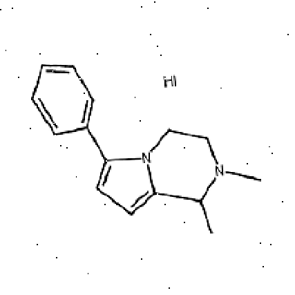 CC1c2ccc(-c3ccccc3)n2CCN1C.I